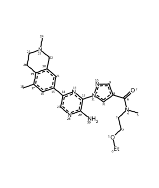 CCOCCN(C)C(=O)c1cnn(-c2nc(-c3cc(C)c4c(c3)CN(C)CC4)cnc2N)c1